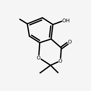 Cc1cc(O)c2c(c1)OC(C)(C)OC2=O